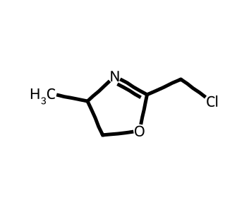 CC1COC(CCl)=N1